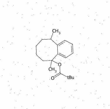 CC1CCCCC(C)(OC(=O)C(C)(C)C)c2ccccc21